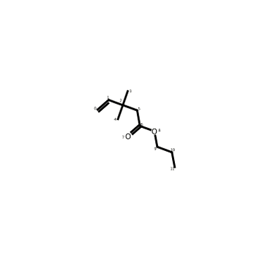 C=CC(C)(C)CC(=O)OCCC